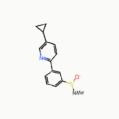 CN[S+]([O-])c1cccc(-c2ccc(C3CC3)cn2)c1